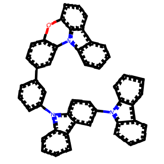 c1cc(-c2ccc3c(c2)-n2c4ccccc4c4cccc(c42)O3)cc(-n2c3ccccc3c3cc(-n4c5ccccc5c5ccccc54)ccc32)c1